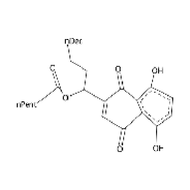 CCCCCCCCCCCCC(OC(=O)CCCCC)C1=CC(=O)c2c(O)ccc(O)c2C1=O